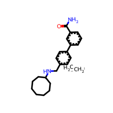 NC(=O)c1cccc(-c2ccc(CN[C]3CCCCCCC3)cc2)c1.[CH2].[CH2]